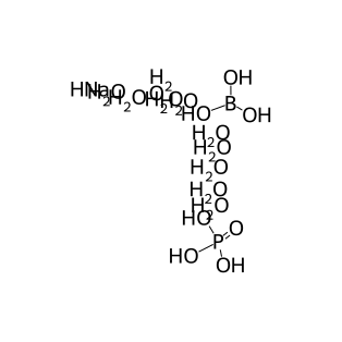 O.O.O.O.O.O.O.O.O.O.O=P(O)(O)O.OB(O)O.[NaH]